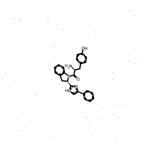 N[C@@H](Cc1ccc(O)cc1)C(=O)N1c2ccccc2C[C@@H]1c1nc(-c2ccccc2)c[nH]1